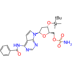 CC(C)(C)[Si](C)(C)O[C@H]1C[C@H](n2ccc3c(NC(=O)c4ccccc4)ncnc32)O[C@@H]1COS(N)(=O)=O